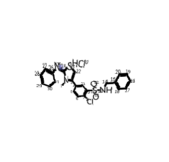 Cl.Cn1c(-c2ccc(Cl)c(S(=O)(=O)NCc3ccccc3)c2)cs/c1=N/c1ccccc1